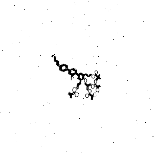 C=C(C)C(=O)OCCCc1cc(-c2ccc(C3CCC(CCCCC)CC3)cc2F)cc(CCCOC(=O)C(C)(C)C)c1OCC(COC(=O)C(C)=O)COC(=O)C(C)=O